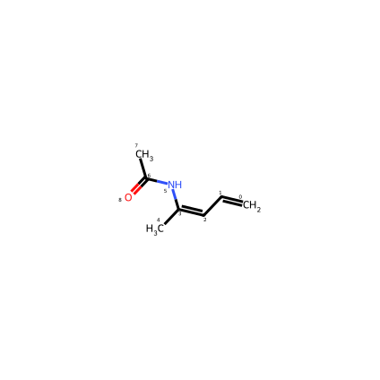 C=C/C=C(/C)NC(C)=O